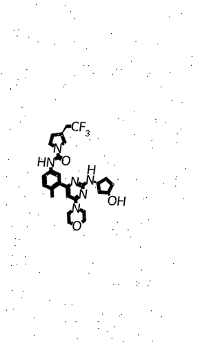 Cc1ccc(NC(=O)N2CC[C@@H](CC(F)(F)F)C2)cc1-c1cc(N2CCOCC2)nc(N[C@H]2CC[C@@H](O)C2)n1